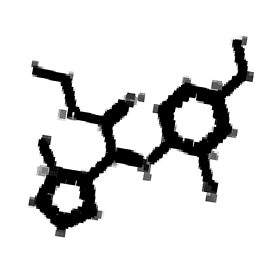 CCOC(=O)C(=Nc1ccc(CC)cc1Br)c1cccn1C